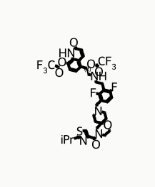 CC(C)c1nc(C(=O)N2CCOC3(CCN(Cc4ccc(F)c(CCNC[C@H](OC(=O)C(F)(F)F)c5ccc(OC(=O)C(F)(F)F)c6[nH]c(=O)ccc56)c4F)CC3)C2)cs1